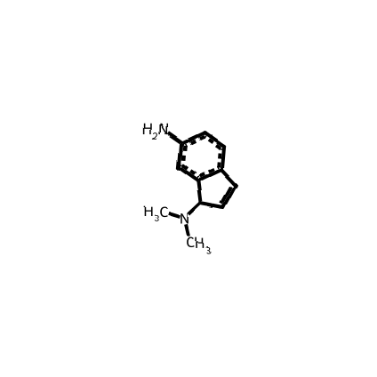 CN(C)C1C=Cc2ccc(N)cc21